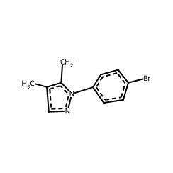 [CH2]c1c(C)cnn1-c1ccc(Br)cc1